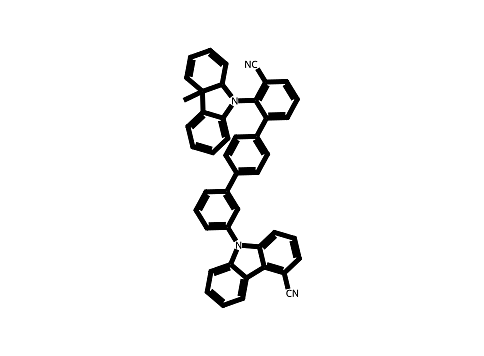 CC12C=CC=CC1N(c1c(C#N)cccc1-c1ccc(-c3cccc(-n4c5ccccc5c5c(C#N)cccc54)c3)cc1)c1ccccc12